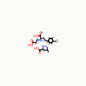 CC(C)C[C@H](N)C(=O)O.O=C(O)CCN[C@H](CCc1ccc(Cl)cc1)C(=O)O